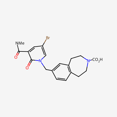 CNC(=O)c1cc(Br)cn(Cc2ccc3c(c2)CCN(C(=O)O)CC3)c1=O